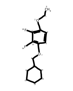 CCOc1ccc(OCC2CCCCC2)c(F)c1F